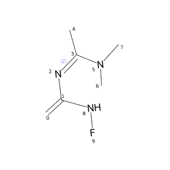 C=C(/N=C(/C)N(C)C)NF